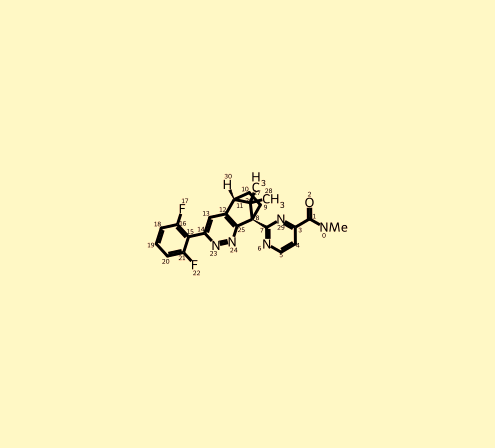 CNC(=O)c1ccnc([C@@]23CC[C@@H](c4cc(-c5c(F)cccc5F)nnc42)C3(C)C)n1